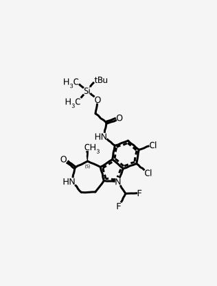 C[C@@H]1C(=O)NCCc2c1c1c(NC(=O)CO[Si](C)(C)C(C)(C)C)cc(Cl)c(Cl)c1n2C(F)F